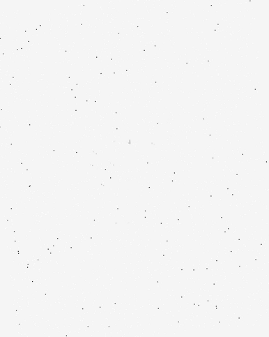 CC#CCn1c(C(=O)NCc2nc(C)cc3ccccc23)nnc1N1CCCC(OS(C)(=O)=O)C1